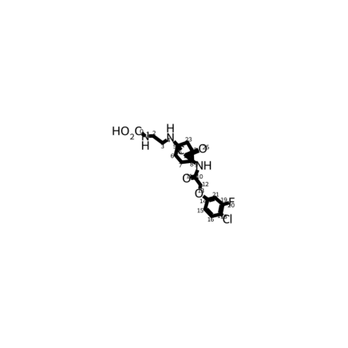 O=C(O)NCCNC12CCC(NC(=O)COc3ccc(Cl)c(F)c3)(CC1)C(=O)C2